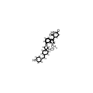 Cl.Cn1nc(C2CCC(=O)NC2=O)c2cccc(N3CC4(CCC(CN5CCNCC5)CC4)C3)c21